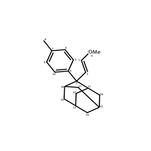 COC=CC1(c2ccc(C)cc2)C2CC3CC(C2)CC1C3